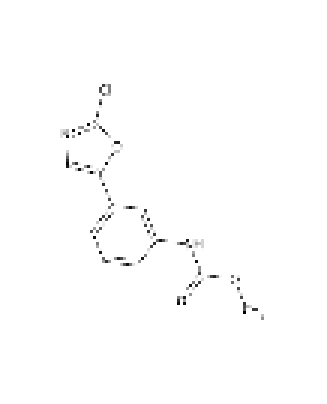 COC(=O)Nc1cccc(-c2cnc(Cl)o2)c1